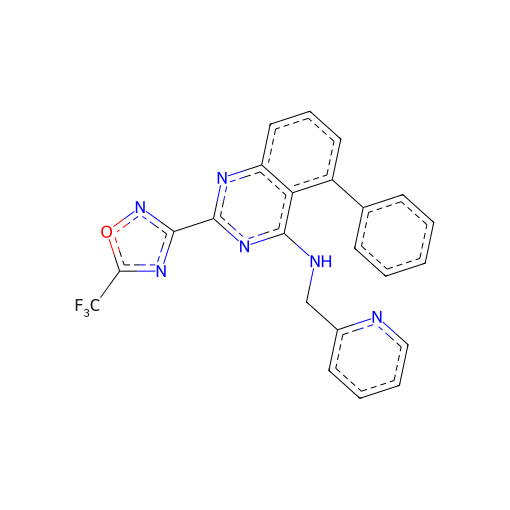 FC(F)(F)c1nc(-c2nc(NCc3ccccn3)c3c(-c4ccccc4)cccc3n2)no1